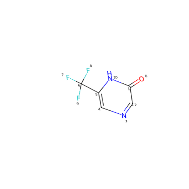 O=c1[c]ncc(C(F)(F)F)[nH]1